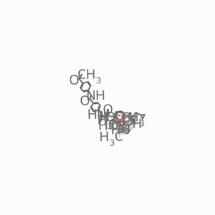 CC(=O)c1ccc(NC(=O)c2ccc(NC(=O)Oc3ccc4c5c3O[C@H]3[C@]6(C)CC[C@@]7(C[C@@H]6C(C)(O)C(C)(C)C)[C@@H](C4)N(CC4CC4)CC[C@]537)cc2)cc1